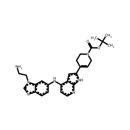 CC(C)(C)OC(=O)N1CC=C(c2cc3c(Nc4ccc5ncn(CCN)c5c4)ccnc3[nH]2)CC1